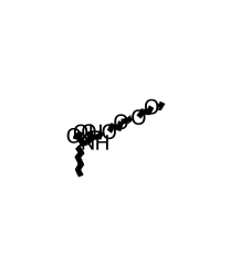 CCCCCC[C@H](NC(=O)CCOCCOCCOCCOCC)C(=O)O